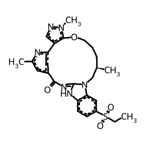 CCS(=O)(=O)c1ccc2c(c1)N1C[C@H](C)CCCOc3c(cnn3C)-c3cc(cc(C)n3)C(=O)/N=C/1N2